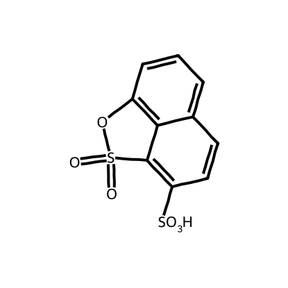 O=S(=O)(O)c1ccc2cccc3c2c1S(=O)(=O)O3